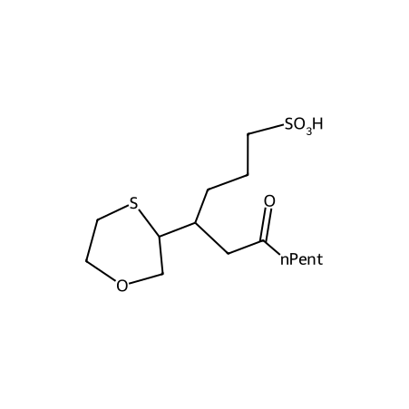 CCCCCC(=O)CC(CCCS(=O)(=O)O)C1COCCS1